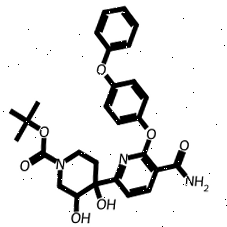 CC(C)(C)OC(=O)N1CCC(O)(c2ccc(C(N)=O)c(Oc3ccc(Oc4ccccc4)cc3)n2)C(O)C1